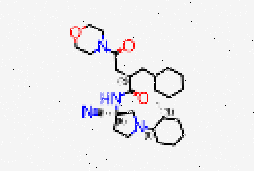 C[C@@H]1CCCC[C@H]1N1CC[C@@](C#N)(NC(=O)[C@@H](CC(=O)N2CCOCC2)CC2CCCCC2)C1